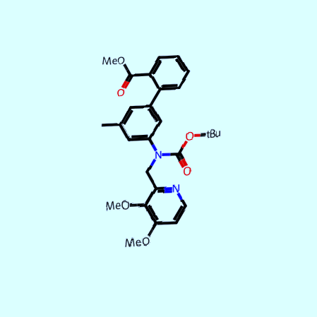 COC(=O)c1ccccc1-c1cc(C)cc(N(Cc2nccc(OC)c2OC)C(=O)OC(C)(C)C)c1